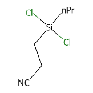 CCC[Si](Cl)(Cl)CCC#N